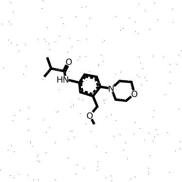 COCc1cc(NC(=O)C(C)C)ccc1N1CCOCC1